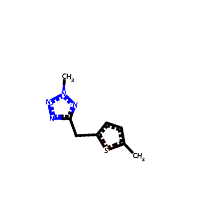 Cc1ccc(Cc2nnn(C)n2)s1